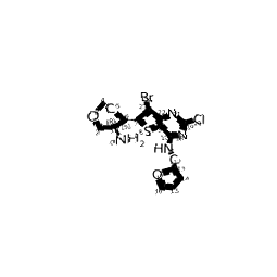 N[C@H]1COCC[C@@H]1c1sc2c(NCc3ccco3)nc(Cl)nc2c1Br